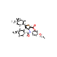 CO[C@H]1CC[C@H](N(c2cc(C3=CCC(C)(C)CC3)sc2C(=O)O)C(=O)[C@H]2CC[C@H](C)CC2)CC1